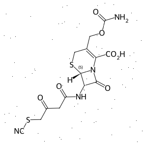 N#CSCC(=O)CC(=O)NC1C(=O)N2C(C(=O)O)=C(COC(N)=O)CS[C@@H]12